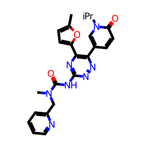 Cc1ccc(-c2nc(NC(=O)N(C)Cc3ccccn3)nnc2-c2ccc(=O)n(C(C)C)c2)o1